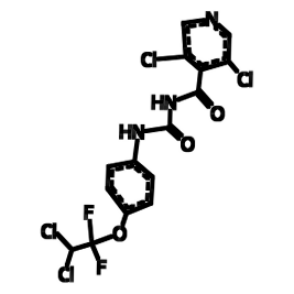 O=C(NC(=O)c1c(Cl)cncc1Cl)Nc1ccc(OC(F)(F)C(Cl)Cl)cc1